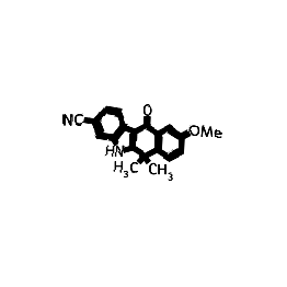 COc1ccc2c(c1)C(=O)c1c([nH]c3cc(C#N)ccc13)C2(C)C